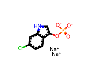 O=P([O-])([O-])Oc1c[nH]c2cc(Cl)ccc12.[Na+].[Na+]